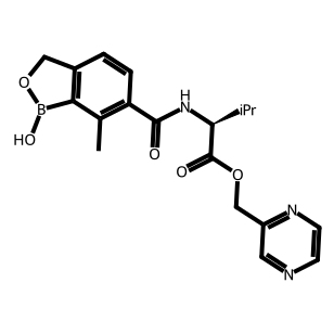 Cc1c(C(=O)N[C@H](C(=O)OCc2cnccn2)C(C)C)ccc2c1B(O)OC2